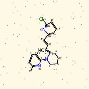 Cc1ccc([N+](=O)[O-])c(N2CCCC/C2=C\C=Cc2cccc(Cl)n2)n1